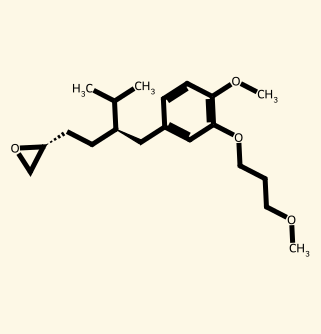 COCCCOc1cc(C[C@@H](CC[C@@H]2CO2)C(C)C)ccc1OC